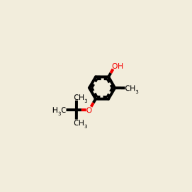 Cc1cc(OC(C)(C)C)ccc1O